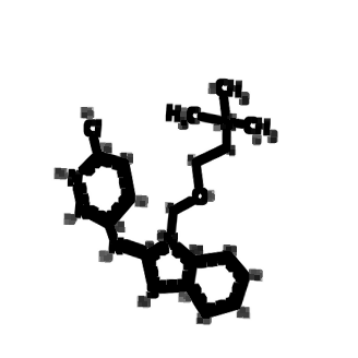 C[Si](C)(C)CCOCn1c(=Nc2ccc(Cl)nn2)sc2ccccc21